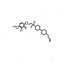 C=CCCC1CCC(C2CCC(C(F)(F)CCOc3ccc(OCC)c(F)c3F)CC2)CC1